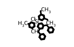 CCc1cc(CC)cc([Si](Cl)(c2cc(C)cc(C)c2)c2cc(Cc3ccccc3)cc(Cc3ccccc3)c2)c1